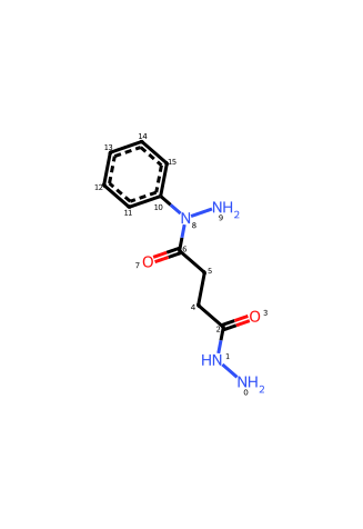 NNC(=O)CCC(=O)N(N)c1ccccc1